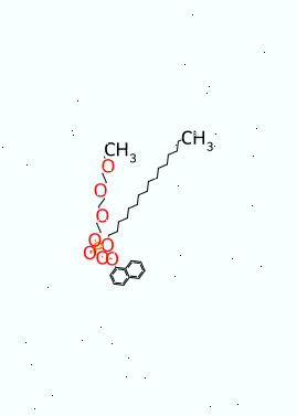 CCCCCCCCCCCCCCCCOP(=O)(OCCOCCOCCOCC)OOc1cccc2ccccc12